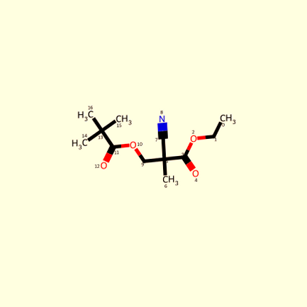 CCOC(=O)C(C)(C#N)COC(=O)C(C)(C)C